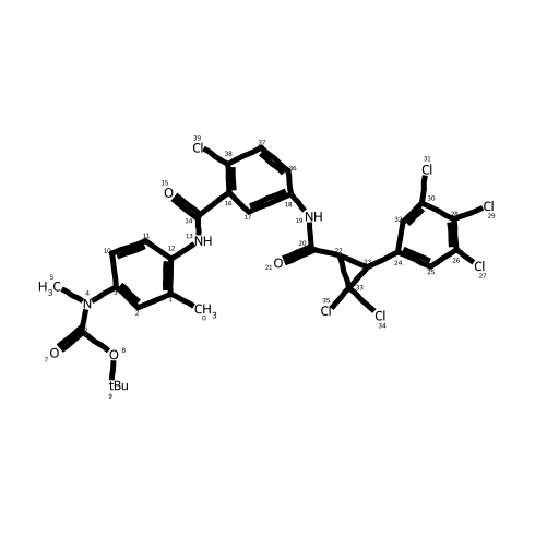 Cc1cc(N(C)C(=O)OC(C)(C)C)ccc1NC(=O)c1cc(NC(=O)C2C(c3cc(Cl)c(Cl)c(Cl)c3)C2(Cl)Cl)ccc1Cl